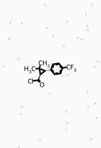 CC1(C)[C@H](C(=O)Cl)[C@H]1c1ccc(C(F)(F)F)cc1